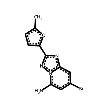 Cc1ccc(-c2nc3cc(Br)cc(N)n3n2)o1